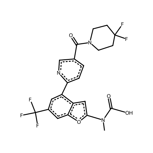 CN(C(=O)O)c1cc2c(-c3ccc(C(=O)N4CCC(F)(F)CC4)cn3)cc(C(F)(F)F)cc2o1